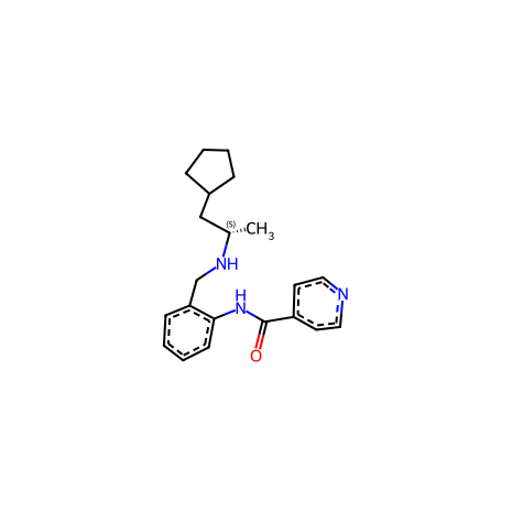 C[C@@H](CC1CCCC1)NCc1ccccc1NC(=O)c1ccncc1